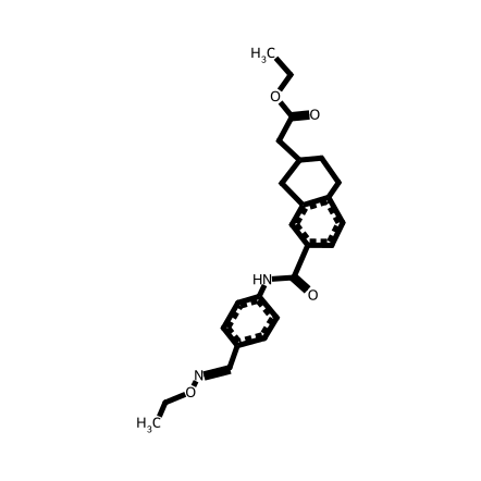 CCON=Cc1ccc(NC(=O)c2ccc3c(c2)CC(CC(=O)OCC)CC3)cc1